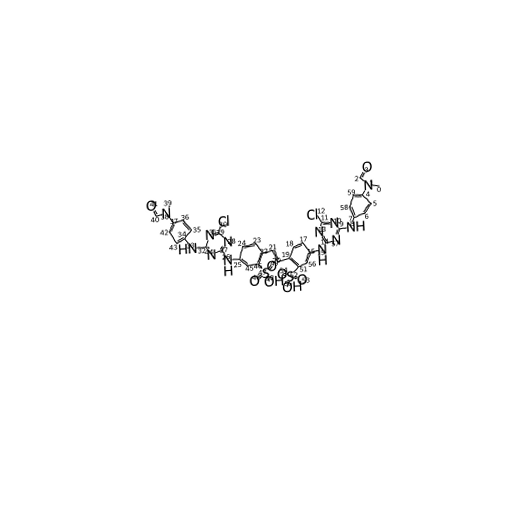 CN(C=O)c1ccc(Nc2nc(Cl)nc(Nc3ccc(C=Cc4ccc(Nc5nc(Cl)nc(Nc6ccc(N(C)C=O)cc6)n5)cc4S(=O)(=O)O)c(S(=O)(=O)O)c3)n2)cc1